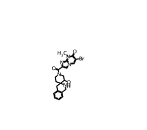 Cn1c(=O)c(Br)cn2cc(C(=O)N3CCC4(Cc5ccccc5CN4)C(O)C3)nc12